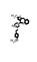 COc1ccc(CC[C@H]2CN(C3=Nc4ccccc4Cc4sc(C)cc43)CCN2)cc1